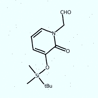 CC(C)(C)[Si](C)(C)Oc1cccn(CC=O)c1=O